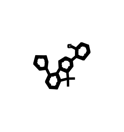 CC1(C)c2cc(-c3ccccc3Cl)ccc2-c2c(-c3ccccc3)cccc21